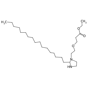 CCCCCCCCCCCCCCCCCC1NCCN1CCOCCC(=O)OCC